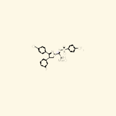 CON/C(=N\S(=O)(=O)c1ccc(C(F)(F)F)cc1)N1CC(c2cccc(F)c2)C(c2ccc(Cl)cc2)=N1